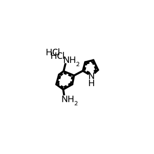 Cl.Cl.Nc1ccc(N)c(-c2ccc[nH]2)c1